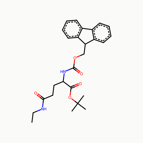 CCNC(=O)CCC(NC(=O)OCC1c2ccccc2-c2ccccc21)C(=O)OC(C)(C)C